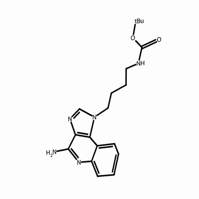 CC(C)(C)OC(=O)NCCCCn1cnc2c(N)nc3ccccc3c21